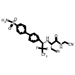 CC(C)C[C@H](N[C@@H](c1ccc(-c2ccc(S(N)(=O)=O)cc2)cc1)C(F)(F)C(F)(F)F)C(=O)NCC#N